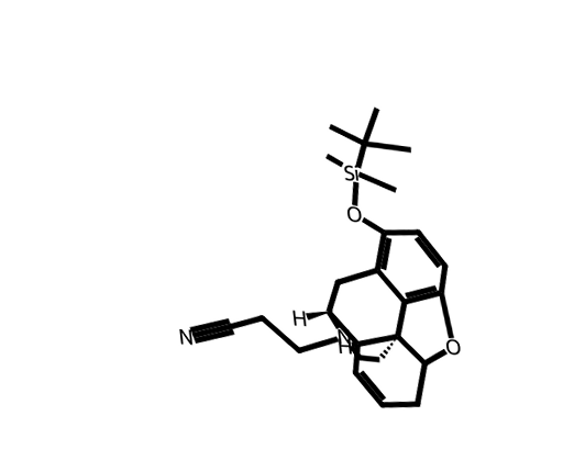 CC(C)(C)[Si](C)(C)Oc1ccc2c3c1C[C@@H]1[C@@H]4C=CCC(O2)[C@]34CCN1CCC#N